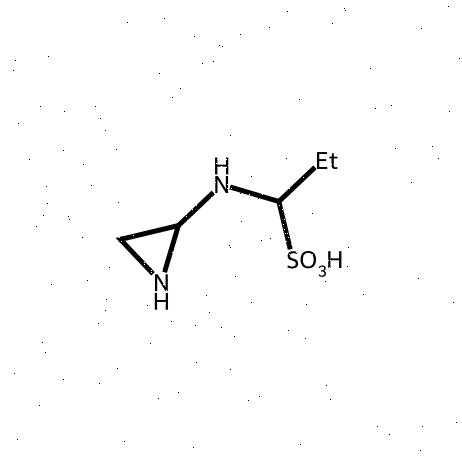 CCC(NC1CN1)S(=O)(=O)O